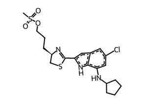 CS(=O)(=O)OCCC[C@@H]1CSC(c2cc3cc(Cl)cc(NC4CCCC4)c3[nH]2)=N1